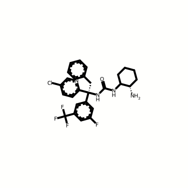 N[C@H]1CCCCC1NC(=O)N[C@@](Cc1ccccc1)(c1cc(F)cc(C(F)(F)F)c1)c1ccc(Cl)cn1